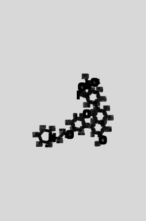 COc1ccc2c(Oc3ccc(OCCN4CCCCC4)cc3)c(-c3ccc(S(C)(=O)=O)c(F)c3)ccc2c1